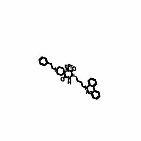 CCCN1C(=O)[C@H](CCCCN(C(C)=O)c2ccccc2-c2ccccc2)NC(=O)C12CCN(CCc1ccccc1)CC2